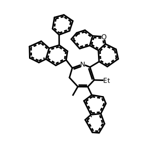 CCC1=C(c2cccc3oc4ccccc4c23)N=C(c2cc(-c3ccccc3)c3ccccc3c2)CC(C)=C1c1ccc2ccccc2c1